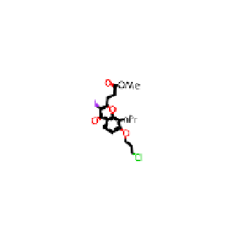 CCCc1c(OCCCCl)ccc2c(=O)c(I)c(CCC(=O)OC)oc12